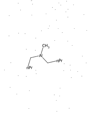 CCC[CH2][Al]([CH3])[CH2]CCC